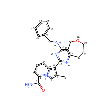 Cc1cn2c(C(N)=O)cccc2c1-c1nc2c(c(NCc3ccccc3)n1)COCCC2